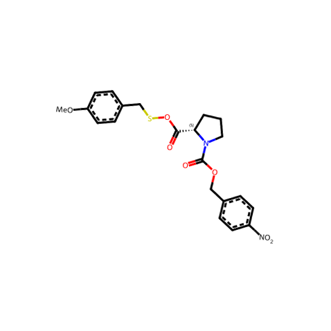 COc1ccc(CSOC(=O)[C@@H]2CCCN2C(=O)OCc2ccc([N+](=O)[O-])cc2)cc1